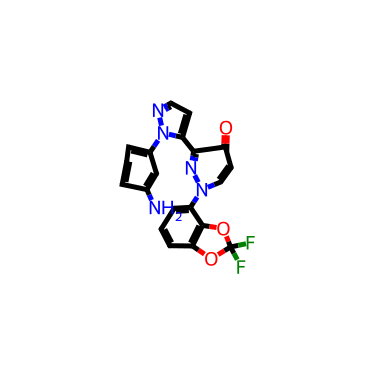 Nc1cccc(-n2nccc2-c2nn(-c3cccc4c3OC(F)(F)O4)ccc2=O)c1